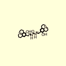 O=C(N/N=C/c1cc2c3c(c1O)CCCN3CCC2)N/N=C/c1cc2c3c(c1O)CCCN3CCC2